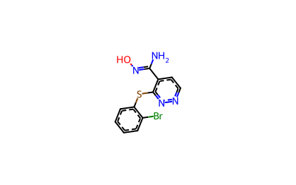 NC(=NO)c1ccnnc1Sc1ccccc1Br